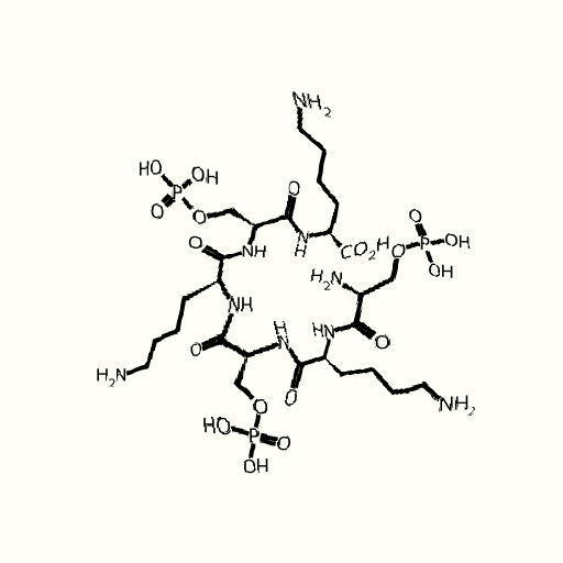 NCCCC[C@H](NC(=O)[C@H](COP(=O)(O)O)NC(=O)[C@H](CCCCN)NC(=O)[C@H](COP(=O)(O)O)NC(=O)[C@H](CCCCN)NC(=O)[C@@H](N)COP(=O)(O)O)C(=O)O